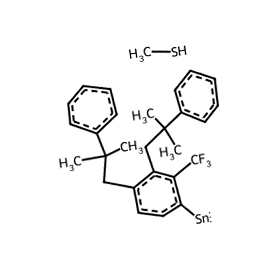 CC(C)(Cc1cc[c]([Sn])c(C(F)(F)F)c1CC(C)(C)c1ccccc1)c1ccccc1.CS